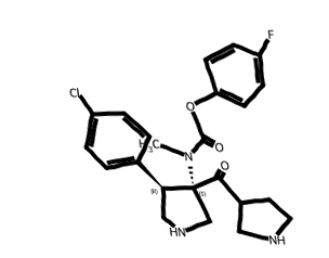 CN(C(=O)Oc1ccc(F)cc1)[C@]1(C(=O)C2CCNC2)CNC[C@H]1c1ccc(Cl)cc1